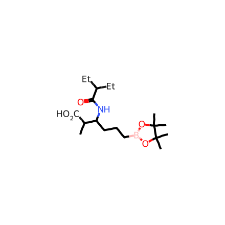 CCC(CC)C(=O)NC(CCCB1OC(C)(C)C(C)(C)O1)C(C)C(=O)O